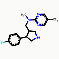 CN(CC1CNCC1c1ccc(F)cc1)c1ncc(C(F)(F)F)cn1